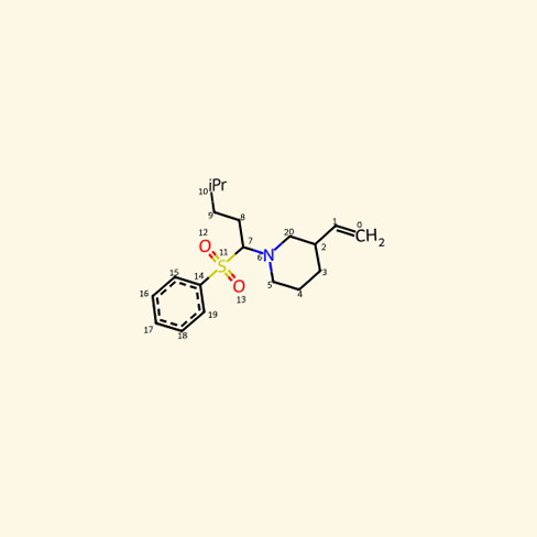 C=CC1CCCN(C(CCC(C)C)S(=O)(=O)c2ccccc2)C1